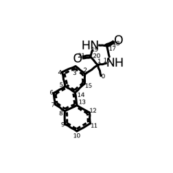 CC1(c2ccc3ccc4ccccc4c3c2)NC(=O)NC1=O